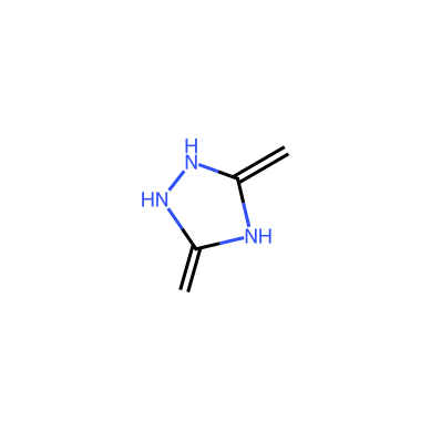 C=C1NNC(=C)N1